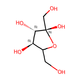 OCC1O[C@@](O)(CO)[C@@H](O)[C@@H]1O